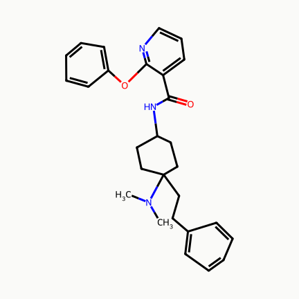 CN(C)C1(CCc2ccccc2)CCC(NC(=O)c2cccnc2Oc2ccccc2)CC1